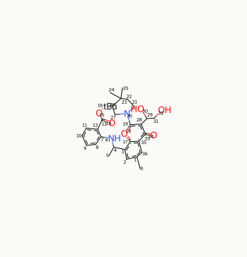 Cc1cc(C(C)Nc2ccccc2C(=O)OC(C)(C)C)c2oc(N3CCC(C)(C)CC3)c(C(O)CO)c(=O)c2c1